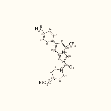 CCOC(=O)N1CCN(C(=O)c2cc3nc(-c4ccc(C)cc4)cc(C(F)(F)F)n3n2)CC1